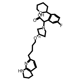 O=C(O)C(c1cc(F)ccc1C1CCCCO1)N1CC[C@@H](OCCCCc2ccc3c(n2)NCCC3)C1